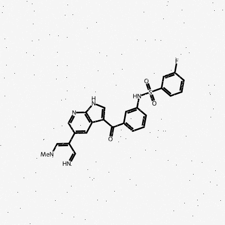 CN/C=C(\C=N)c1cnc2[nH]cc(C(=O)c3cccc(NS(=O)(=O)c4cccc(F)c4)c3)c2c1